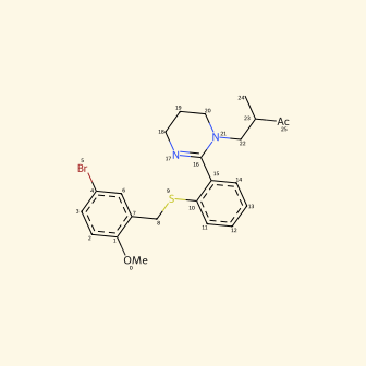 COc1ccc(Br)cc1CSc1ccccc1C1=NCCCN1CC(C)C(C)=O